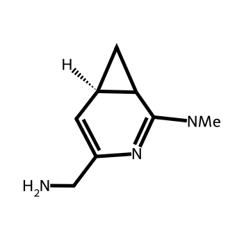 CNC1=NC(CN)=C[C@H]2CC12